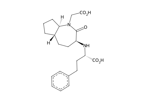 O=C(O)CN1C(=O)[C@@H](N[C@@H](CCc2ccccc2)C(=O)O)CC[C@@H]2CCC[C@H]21